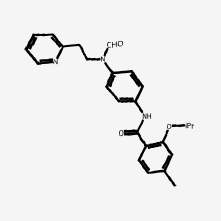 Cc1ccc(C(=O)Nc2ccc(N(C=O)CCc3ccccn3)cc2)c(OC(C)C)c1